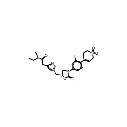 CCN(C)C(=O)Cc1cn(C[C@H]2CN(c3ccc(C4=CCS(=O)(=O)CC4)c(F)c3)C(=O)O2)nn1